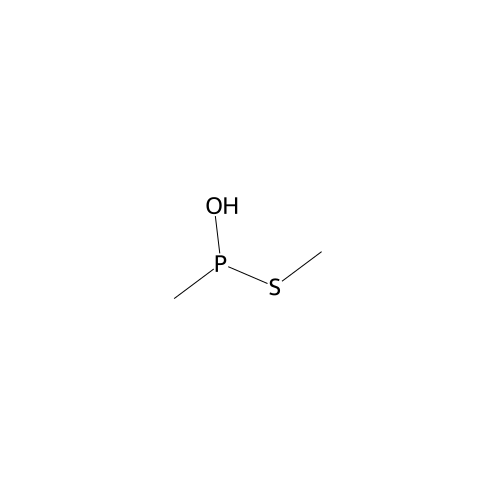 CSP(C)O